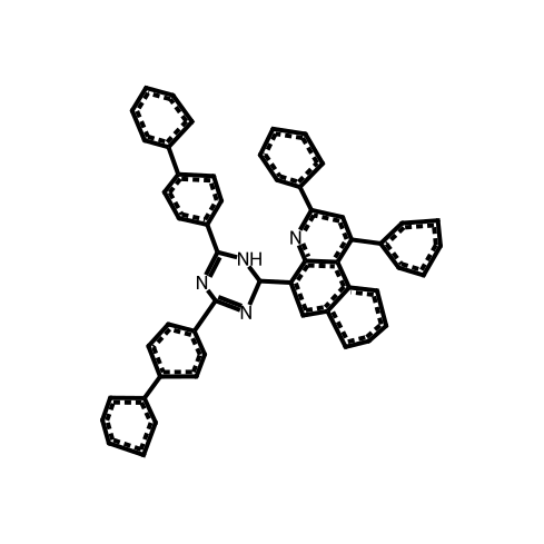 c1ccc(-c2ccc(C3=NC(c4cc5ccccc5c5c(-c6ccccc6)cc(-c6ccccc6)nc45)NC(c4ccc(-c5ccccc5)cc4)=N3)cc2)cc1